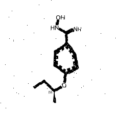 CC[C@H](C)Oc1ccc(C(=N)NO)cc1